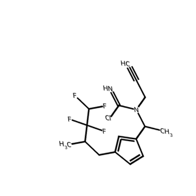 C#CCN(C(=N)Cl)C(C)C1=C=C(CC(C)C(F)(F)C(F)F)C=C1